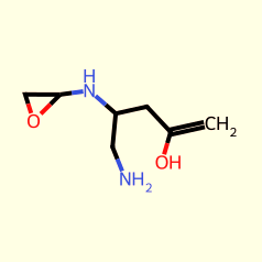 C=C(O)CC(CN)NC1CO1